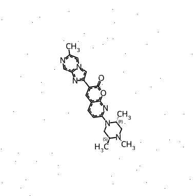 Cc1cn2cc(-c3cc4ccc(N5C[C@H](C)N(C)C[C@H]5C)nc4oc3=O)nc2cn1